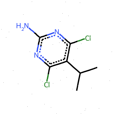 CC(C)c1c(Cl)nc(N)nc1Cl